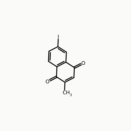 CC1=CC(=O)c2cc(I)ccc2C1=O